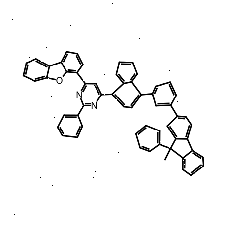 CC1(c2ccccc2)c2ccccc2-c2ccc(-c3cccc(-c4ccc(-c5cc(-c6cccc7c6oc6ccccc67)nc(-c6ccccc6)n5)c5ccccc45)c3)cc21